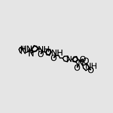 C[C@H]1CCCN1Cc1nc2cc(NC(=O)c3ccc(NC(=O)CCC4CCN(c5ccc6c(c5)C(=O)N(C5CCC(=O)NC5=O)C6=O)CC4)cc3)ccc2[nH]1